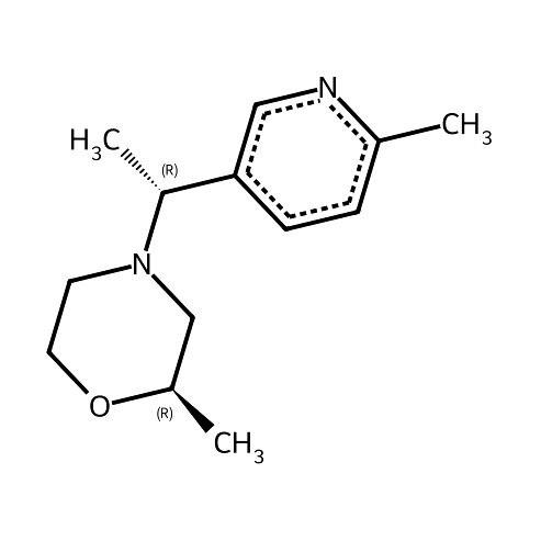 Cc1ccc([C@@H](C)N2CCO[C@H](C)C2)cn1